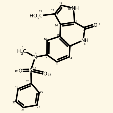 CN(c1ccc2[nH]c(=O)c3[nH]cc(C(=O)O)c3c2c1)S(=O)(=O)c1ccccc1